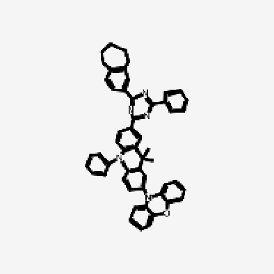 CC1(C)c2cc(-c3nc(-c4ccccc4)nc(-c4ccc5c(c4)CCCCC5)n3)ccc2N(c2ccccc2)c2ccc(N3c4ccccc4Oc4ccccc43)cc21